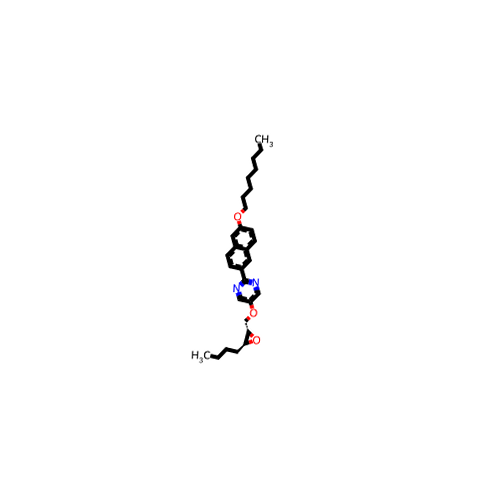 CCCCCCCCOc1ccc2cc(-c3ncc(OC[C@@H]4O[C@H]4CCCC)cn3)ccc2c1